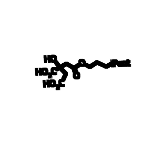 CCCC(C)CCCOC(=O)CC(O)(CC(=O)O)C(=O)O